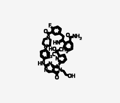 CC(C)(O)c1cccc(-n2c3nc(Nc4ccc(N5CCN(C(=O)c6cc(CC(=N)c7ccccc7C(N)=O)ccc6F)CC5)cc4)ncc3c(=O)n2CCO)n1